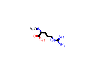 C=NC(CCCNC(=N)N)C(=O)O